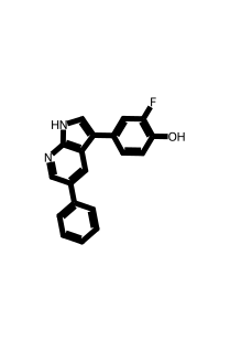 Oc1ccc(-c2c[nH]c3ncc(-c4ccccc4)cc23)cc1F